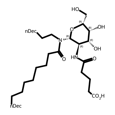 CCCCCCCCCCCCCCCCCC(=O)N(CCCCCCCCCCCC)[C@@H]1O[C@H](CO)[C@H](O)[C@H](O)[C@H]1NC(=O)CCCC(=O)O